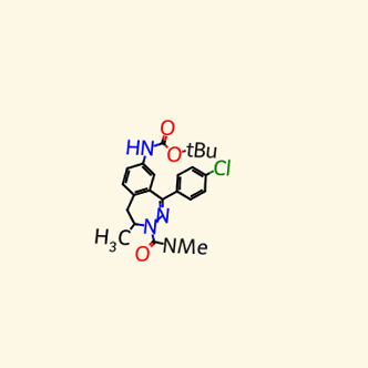 CNC(=O)N1N=C(c2ccc(Cl)cc2)c2cc(NC(=O)OC(C)(C)C)ccc2CC1C